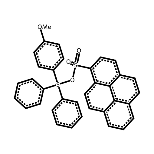 COc1ccc(S(OS(=O)(=O)c2ccc3ccc4cccc5ccc2c3c45)(c2ccccc2)c2ccccc2)cc1